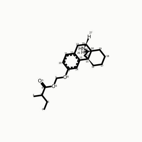 CCC(C)C(=O)OCOc1ccc2c(c1)[C@@]13CCCC[C@H]1[C@@H](C2)NCC3